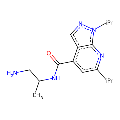 CC(CN)NC(=O)c1cc(C(C)C)nc2c1cnn2C(C)C